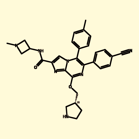 Cc1ccc(-c2c(-c3ccc(C#N)cc3)nc(OC[C@@H]3CCNC3)c3nc(C(=O)NC4CN(C)C4)cn23)cc1